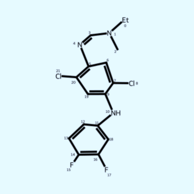 CCN(C)/C=N\c1cc(Cl)c(Nc2ccc(F)c(F)c2)cc1Cl